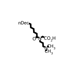 CCCCCCCCCCCCCCCC(=O)N(CCCN(C)C)CC(=O)O